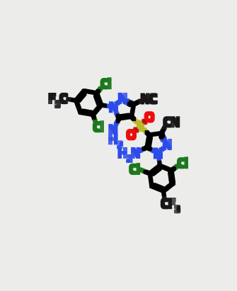 [C-]#[N+]c1nn(-c2c(Cl)cc(C(F)(F)F)cc2Cl)c(N)c1S(=O)(=O)c1c(C#N)nn(-c2c(Cl)cc(C(F)(F)F)cc2Cl)c1N